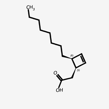 CCCCCCCC[C@H]1C=C[C@H]1CC(=O)O